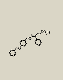 O=C(O)CCC(=NOCc1ccc(OCc2ccccc2)cc1)c1ccccc1